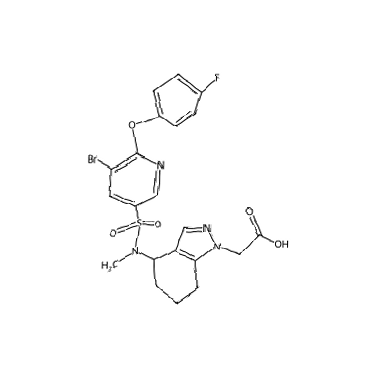 CN(C1CCCc2c1cnn2CC(=O)O)S(=O)(=O)c1cnc(Oc2ccc(F)cc2)c(Br)c1